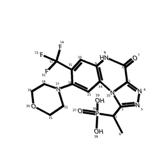 CC(c1nnc2c(=O)[nH]c3cc(C(F)(F)F)c(N4CCOCC4)cc3n12)P(=O)(O)O